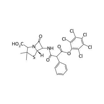 CC1(C)S[C@H]2C(NC(=O)C(C(=O)Oc3c(Cl)c(Cl)c(Cl)c(Cl)c3Cl)c3ccccc3)C(=O)N2C1C(=O)O